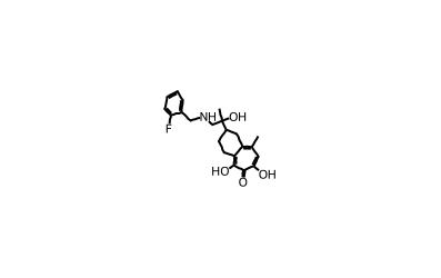 Cc1cc(O)c(=O)c(O)c2c1CC(C(C)(O)CNCc1ccccc1F)CC2